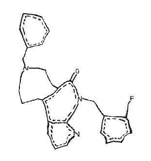 O=c1c2c(c3cccnc3n1Cc1ccccc1F)CCN(Cc1ccccc1)C2